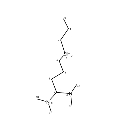 CCC[SiH2]CCCC(N(C)C)N(C)C